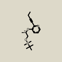 CCC#Cc1ncccc1O[C@H](C)CO[Si](C)(C)C(C)(C)C